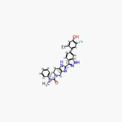 CCc1cc(O)c(F)cc1-c1ccc2c(-c3nc4c([nH]3)CCN(C(=O)N(C)c3ccccc3)C4)n[nH]c2c1